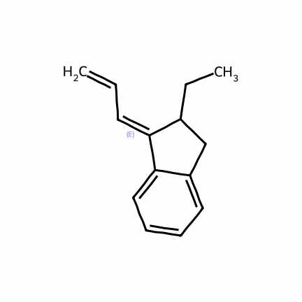 C=C/C=C1/c2ccccc2CC1CC